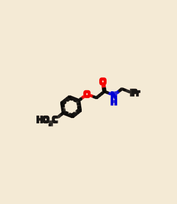 CC(C)CNC(=O)COc1ccc(C(=O)O)cc1